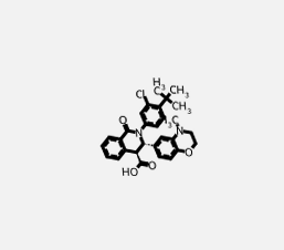 CN1CCOc2ccc([C@@H]3[C@@H](C(=O)O)c4ccccc4C(=O)N3c3ccc(C(C)(C)C)c(Cl)c3)cc21